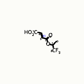 CC(OC(=O)/C=C/C(=O)O)C(F)(F)F